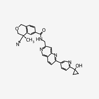 C[C@@]1(C#N)COCc2ccc(C(=O)NCc3cc4nc(-c5ccc(C6(O)CC6)nc5)ccc4cn3)cc21